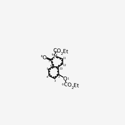 CCOC(=O)Oc1cccc2c(=O)n(C(=O)OCC)ccc12